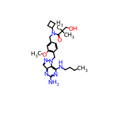 CCCCNc1nc(N)nc2cnn(Cc3ccc(CN(C(=O)C(C)(C)CO)C4CCC4)cc3OC)c12